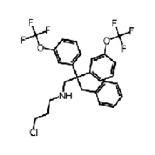 FC(F)(F)Oc1cccc(C(CNCCCCl)(Cc2ccccc2)c2cccc(OC(F)(F)F)c2)c1